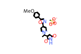 COc1ccc(-c2cnc(-c3cc[n+](C(C)C4=CC(=O)NC4=O)cc3)o2)cc1.CS(=O)(=O)[O-]